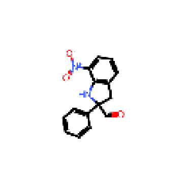 O=CC1(c2ccccc2)Cc2cccc([N+](=O)[O-])c2N1